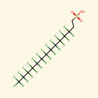 O=S(=O)(O)CCC(F)(F)C(F)(F)C(F)(F)C(F)(F)C(F)(F)C(F)(F)C(F)(F)C(F)(F)C(F)(F)C(F)(F)C(F)(F)C(F)(F)F